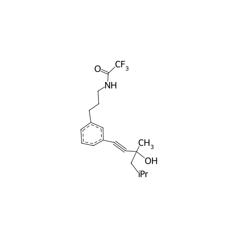 CC(C)CC(C)(O)C#Cc1cccc(CCCNC(=O)C(F)(F)F)c1